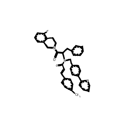 O=C(C(Cc1ccccc1)N(Cc1ccc(-c2ccccn2)cc1)C(=O)C=Cc1ccc(C(F)(F)F)cc1)N1CCc2c(F)cccc2C1